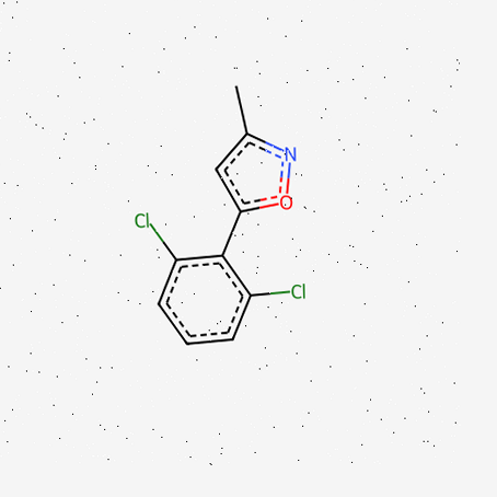 Cc1cc(-c2c(Cl)cccc2Cl)on1